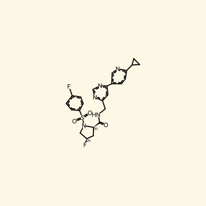 O=C(NCc1cc(-c2ccc(C3CC3)nc2)ncn1)[C@H]1C[C@@H](F)CN1S(=O)(=O)c1ccc(F)cc1